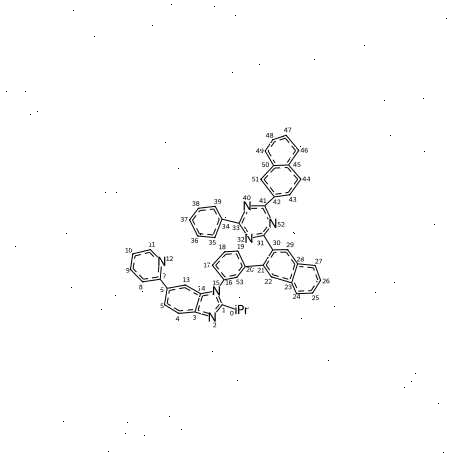 CC(C)c1nc2ccc(-c3ccccn3)cc2n1-c1cccc(-c2cc3ccccc3cc2-c2nc(-c3ccccc3)nc(-c3ccc4ccccc4c3)n2)c1